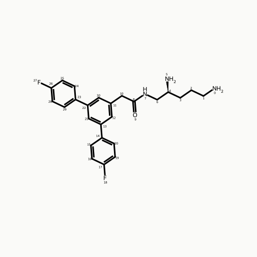 NCCC[C@H](N)CNC(=O)Cc1cc(-c2ccc(F)cc2)cc(-c2ccc(F)cc2)c1